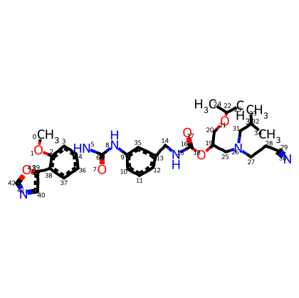 COc1cc(NC(=O)Nc2cccc(CNC(=O)OC(COC(C)C)CN(CCC#N)CC(C)C)c2)ccc1-c1cnco1